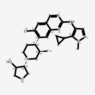 Cn1ncc(Nc2ncc3cc(Cl)c([C@H]4CCN([C@@H]5COCC5O)C[C@@H]4F)cc3n2)c1C1CC1